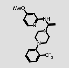 C=C(Nc1cc(OC)ccn1)N1CCN(c2ccccc2C(F)(F)F)CC1